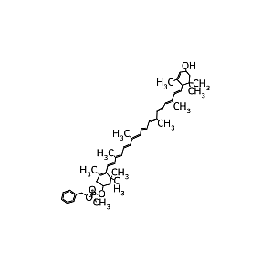 CC1=CC(O)CC(C)(C)C1/C=C/C(C)=C/C=C/C(C)=C/C=C/C=C(C)/C=C/C=C(C)/C=C/C1=C(C)CC(OP(C)(=O)OCc2ccccc2)CC1(C)C